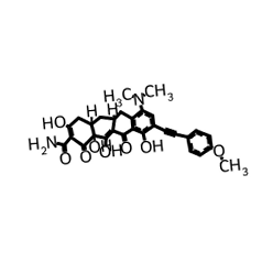 COc1ccc(C#Cc2cc(N(C)C)c3c(c2O)C(=O)C2=C(O)[C@]4(O)C(=O)C(C(N)=O)=C(O)C[C@@H]4C[C@@H]2C3)cc1